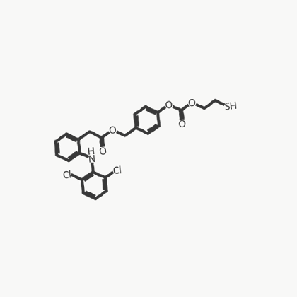 O=C(Cc1ccccc1Nc1c(Cl)cccc1Cl)OCc1ccc(OC(=O)OCCS)cc1